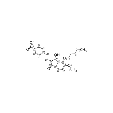 CCCCCOc1c(OC)ccc2c1C(O)N(CCc1ccc([N+](=O)[O-])cc1)C2=O